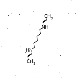 CC=CNCCCCCCNC=CC